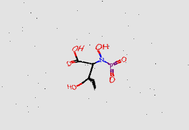 CC(O)C(C(=O)O)N(O)P(=O)=O